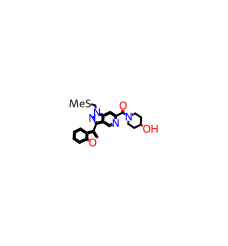 CSCn1nc(-c2coc3ccccc23)c2cnc(C(=O)N3CCC(O)CC3)cc21